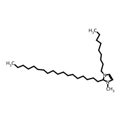 CCCCCCCCCCCCCCCCCCC1N(C)C=CN1CCCCCCCCC